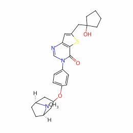 CN1[C@@H]2CC[C@H]1CC(Oc1ccc(-n3cnc4cc(CC5(O)CCCC5)sc4c3=O)cc1)C2